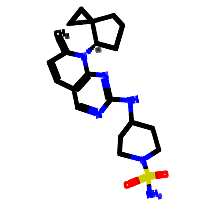 C=C1C=Cc2cnc(NC3CCN(S(N)(=O)=O)CC3)nc2N1[C@H]1CCCC12CC2